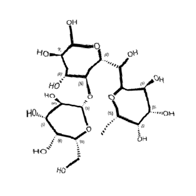 C[C@@H]1OC(C(O)[C@H]2OC(O)[C@H](O)[C@@H](O)[C@@H]2O[C@@H]2O[C@H](CO)[C@H](O)[C@H](O)[C@H]2O)[C@@H](O)[C@H](O)[C@@H]1O